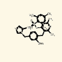 COc1cc(Cn2cncc2C(=O)O)ccc1Cc1c(C)nc(N)nc1OS(=O)(=O)c1c(C)cc(C)cc1C